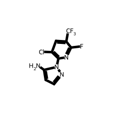 Nc1ccnn1-c1nc(F)c(C(F)(F)F)cc1Cl